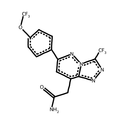 NC(=O)Cc1cc(-c2ccc(OC(F)(F)F)cc2)nn2c(C(F)(F)F)nnc12